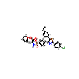 CCc1ccc(-c2sc(-c3ccc(Cl)cc3)nc2-c2ccc(S(=O)(=O)N(C)[C@@H](Cc3ccccc3)C(=O)O)cc2)cc1